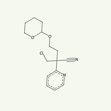 N#CC(CCl)(CCOC1CCCCO1)c1ccccn1